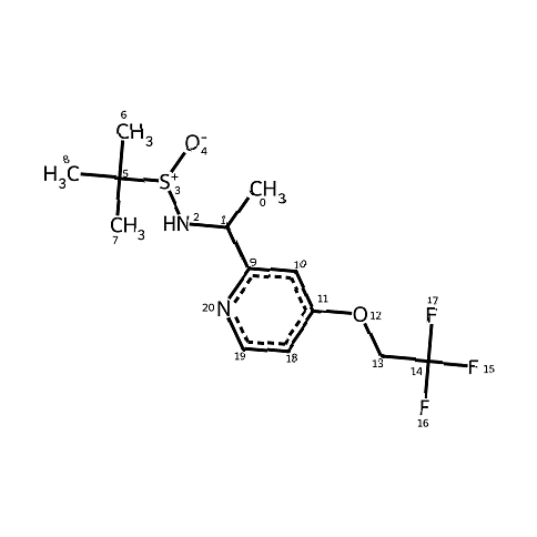 CC(N[S+]([O-])C(C)(C)C)c1cc(OCC(F)(F)F)ccn1